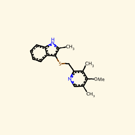 COc1c(C)cnc(CSc2c(C)[nH]c3ccccc23)c1C